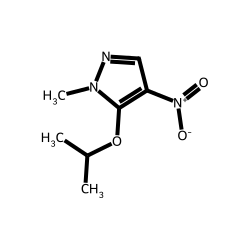 CC(C)Oc1c([N+](=O)[O-])cnn1C